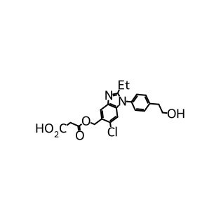 CCc1nc2cc(COC(=O)CC(=O)O)c(Cl)cc2n1-c1ccc(CCO)cc1